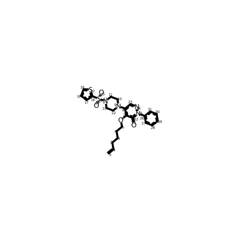 C=CCCCCOc1c(N2CCN(S(=O)(=O)c3cccs3)CC2)cnn(-c2ccccc2)c1=O